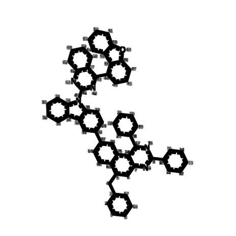 c1ccc(Cc2cc3nc(-c4ccccc4)nc(-c4ccccc4)c3c3cc(-c4ccc5c(c4)c4ccccc4n5-c4nc(-c5cccc6oc7ccccc7c56)c5ccccc5n4)ccc23)cc1